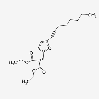 CCCCCCC#Cc1ccc(C=C(C(=O)OCC)C(=O)OCC)o1